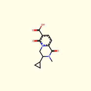 CN1C(=O)c2ccc(C(=O)O)c(=O)n2CC1C1CC1